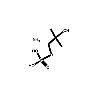 CC(C)(O)COP(=O)(O)O.N